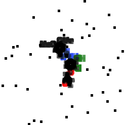 COc1cc2cnc(Nc3ccc(OCc4ccoc4)c(Cl)c3)nc2cc1OC.Cl